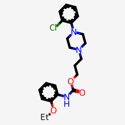 CCOc1ccccc1NC(=O)OCCCN1CCN(c2ccccc2Cl)CC1